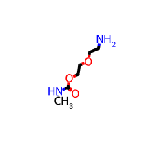 CNC(=O)OCCOCCN